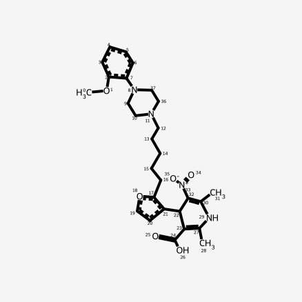 COc1ccccc1N1CCN(CCCCCc2occc2C2C(C(=O)O)=C(C)NC(C)=C2[N+](=O)[O-])CC1